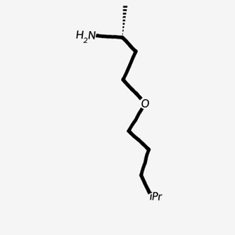 CC(C)CCCOCC[C@@H](C)N